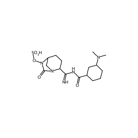 CN(C)C1CCCC(C(=O)NC(=N)C2CCC3CN2C(=O)N3OS(=O)(=O)O)C1